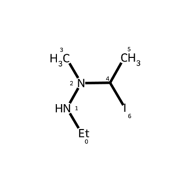 CCNN(C)C(C)I